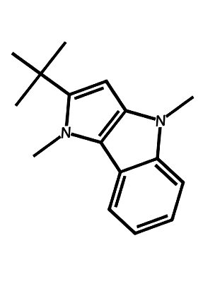 Cn1c(C(C)(C)C)cc2c1c1ccccc1n2C